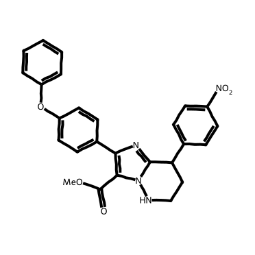 COC(=O)c1c(-c2ccc(Oc3ccccc3)cc2)nc2n1NCCC2c1ccc([N+](=O)[O-])cc1